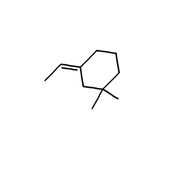 C/C=C1/CCCC(C)(C)C1